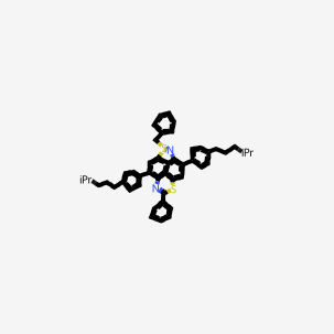 CC(C)CCCc1ccc(-c2cc3c4c(c(-c5ccc(CCCC(C)C)cc5)cc5c4c2N=C(c2ccccc2)S5)N=S3Cc2ccccc2)cc1